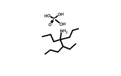 CCCC(CC)C(N)(CCC)CCC.O=P(O)(O)O